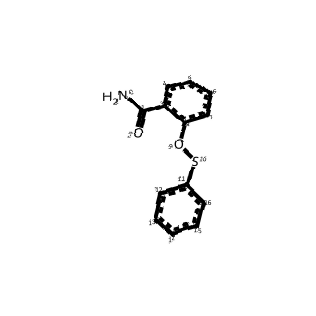 NC(=O)c1ccccc1OSc1ccccc1